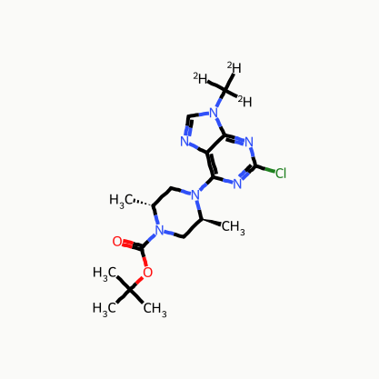 [2H]C([2H])([2H])n1cnc2c(N3C[C@@H](C)N(C(=O)OC(C)(C)C)C[C@@H]3C)nc(Cl)nc21